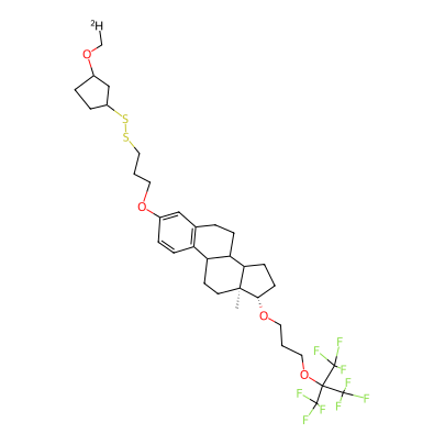 [2H]COC1CCC(SSCCCOc2ccc3c(c2)CCC2C3CC[C@@]3(C)C2CC[C@@H]3OCCCOC(C(F)(F)F)(C(F)(F)F)C(F)(F)F)C1